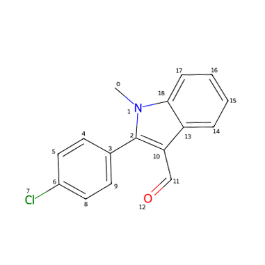 Cn1c(-c2ccc(Cl)cc2)c(C=O)c2ccccc21